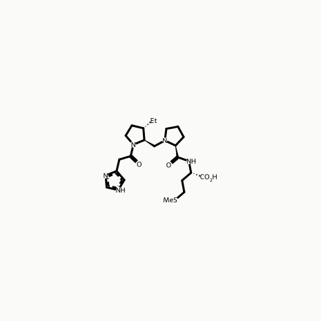 CC[C@H]1CCN(C(=O)Cc2c[nH]cn2)[C@@H]1CN1CCC[C@H]1C(=O)N[C@@H](CCSC)C(=O)O